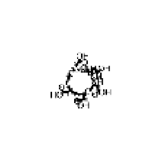 O=C(O)CC1CCCCCN(CC(=O)O)NNN(CC(=O)O)NNC(CC(=O)O)CCC(CC(=O)O)CC1